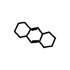 C1=C2CCCCC2C=C2CCCCC12